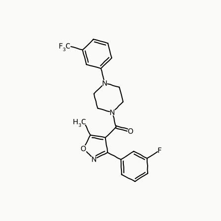 Cc1onc(-c2cccc(F)c2)c1C(=O)N1CCN(c2cccc(C(F)(F)F)c2)CC1